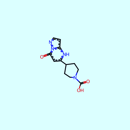 O=C(O)N1CCC(c2cc(=O)n3nccc3[nH]2)CC1